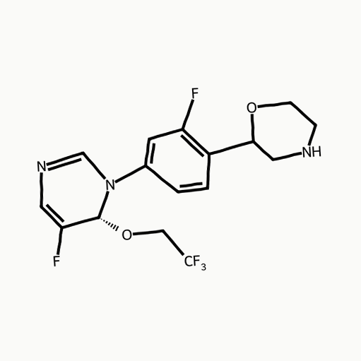 FC1=CN=CN(c2ccc(C3CNCCO3)c(F)c2)[C@@H]1OCC(F)(F)F